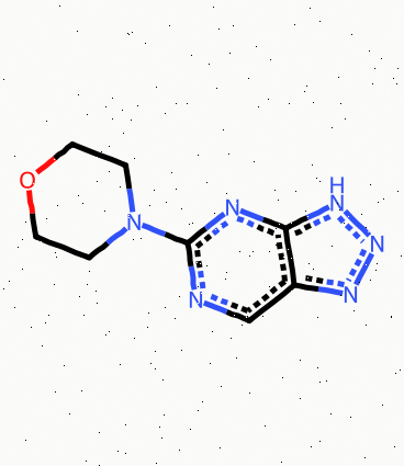 c1nc(N2CCOCC2)nc2[nH]nnc12